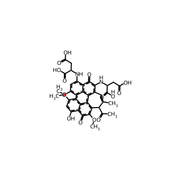 COc1c2c3c4c(c(NC(CC(=O)O)C(=O)O)c(=O)c5c(NC(CC(=O)O)C(=O)O)cc(OC)c(c6c(OC)cc(O)c(c1=O)c63)c54)C=C(C)C2C(C)=O